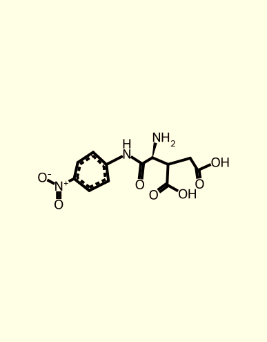 N[C@H](C(=O)Nc1ccc([N+](=O)[O-])cc1)C(CC(=O)O)C(=O)O